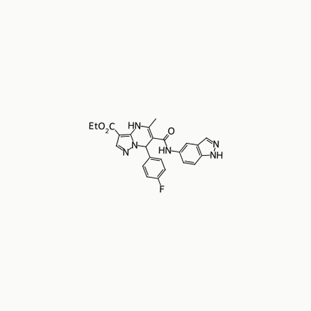 CCOC(=O)c1cnn2c1NC(C)=C(C(=O)Nc1ccc3[nH]ncc3c1)C2c1ccc(F)cc1